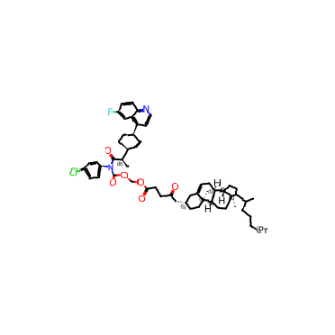 CC(C)CCCC(C)C1CC[C@H]2[C@@H]3CC=C4C[C@@H](CC(=O)CCC(=O)OCOC(=O)N(C(=O)[C@H](C)[C@H]5CC[C@@H](c6ccnc7ccc(F)cc76)CC5)c5ccc(Cl)cc5)CC[C@]4(C)[C@H]3CC[C@]12C